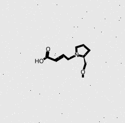 COC[C@@H]1CCCN1C/C=C/C(=O)O